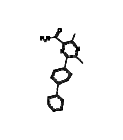 Cc1nc(C)c(-c2ccc(-c3ccccc3)cc2)nc1C(N)=O